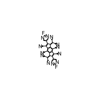 N#CC(C#N)=C1C(c2cnc(F)nc2)=C(C#N)c2c(C#N)c3c(c(C#N)c21)C(C#N)=C(c1cnc(F)nc1)C3=C(C#N)C#N